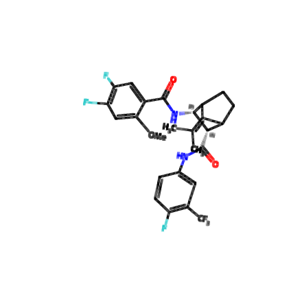 COc1cc(F)c(F)cc1C(=O)N[C@@H]1C2CCC(C2=C(C)C)[C@@H]1C(=O)Nc1ccc(F)c(C(F)(F)F)c1